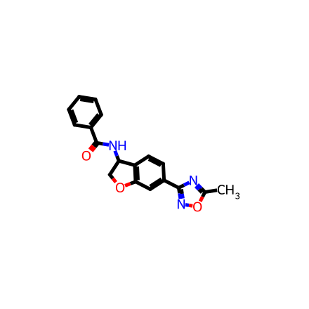 Cc1nc(-c2ccc3c(c2)OCC3NC(=O)c2ccccc2)no1